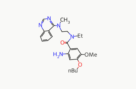 CCCCOc1cc(N)c(C(=O)N(CC)CCN(C)c2ncnc3ccccc23)cc1OC